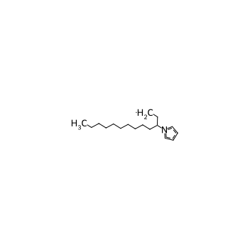 [CH2]CC(CCCCCCCCCC)n1cccc1